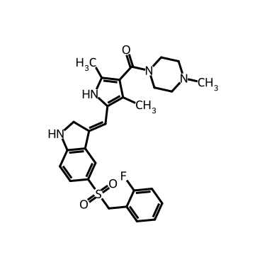 Cc1[nH]c(/C=C2\CNc3ccc(S(=O)(=O)Cc4ccccc4F)cc32)c(C)c1C(=O)N1CCN(C)CC1